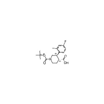 Cc1cc(F)ccc1[C@@H]1CN(C(=O)OC(C)(C)C)CC[C@H]1C(=O)O